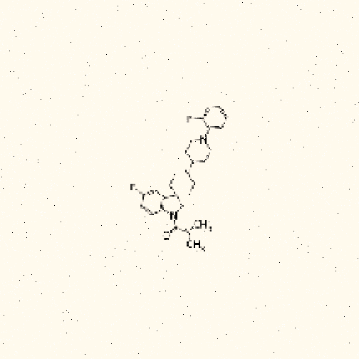 CN(C)C(=O)N1CC2(CCN(C3CCN(c4ccccc4F)CC3)CC2)c2cc(F)ccc21